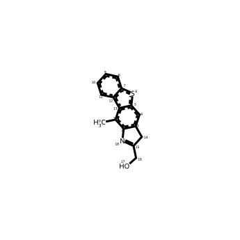 Cc1c2c(cc3sc4ccccc4c13)CC(CO)=N2